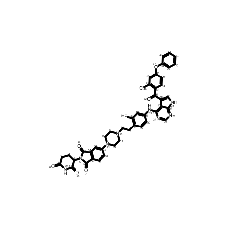 O=C1CCC(N2C(=O)c3ccc(N4CCN(CCc5ccc(Nc6ncnc7[nH]cc(C(=O)c8ccc(Oc9ccccc9)cc8Cl)c67)cc5F)CC4)cc3C2=O)C(=O)N1